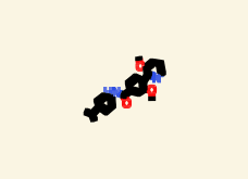 COc1cc(C(=O)Nc2ccc(C(C)C)cc2)ccc1-c1ncccc1OC